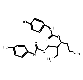 CCCC(OC(=O)Nc1ccc(O)cc1)C(CC)COC(=O)Nc1ccc(O)cc1